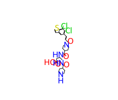 O=C(O)CC(CNC(=O)C1CCNCC1)NC(=O)C1CCN(C(=O)C=Cc2cc3ccsc3c(Cl)c2Cl)CC1